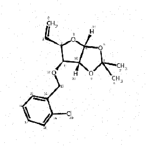 C=C[C@H]1O[C@@H]2OC(C)(C)O[C@@H]2[C@H]1OCc1ccccc1Cl